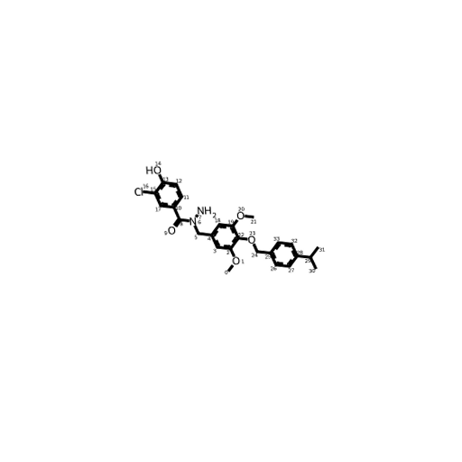 COc1cc(CN(N)C(=O)c2ccc(O)c(Cl)c2)cc(OC)c1OCc1ccc(C(C)C)cc1